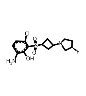 Nc1ccc(Cl)c(S(=O)(=O)C2CC(N3CC[C@@H](F)C3)C2)c1O